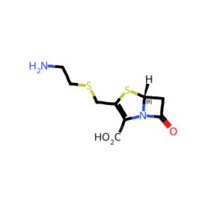 NCCSCC1=C(C(=O)O)N2C(=O)C[C@H]2S1